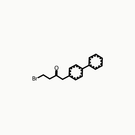 O=C(CCBr)Cc1ccc(-c2ccccc2)cc1